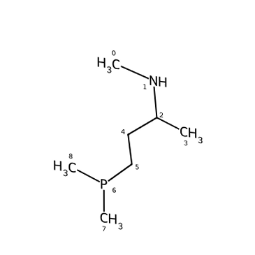 CNC(C)CCP(C)C